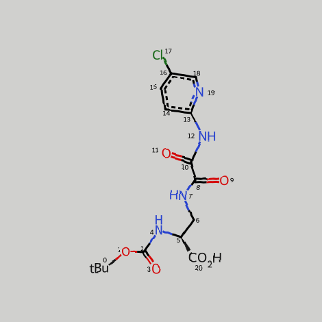 CC(C)(C)OC(=O)N[C@@H](CNC(=O)C(=O)Nc1ccc(Cl)cn1)C(=O)O